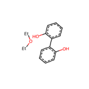 CCOCC.Oc1ccccc1-c1ccccc1O